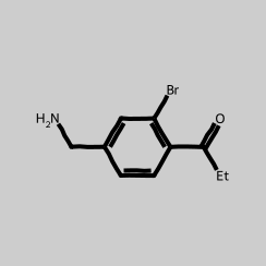 CCC(=O)c1ccc(CN)cc1Br